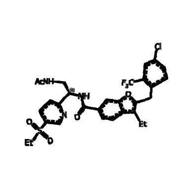 CCc1c(Cc2ccc(Cl)cc2C(F)(F)F)oc2cc(C(=O)N[C@H](CNC(C)=O)c3ccc(S(=O)(=O)CC)cn3)ccc12